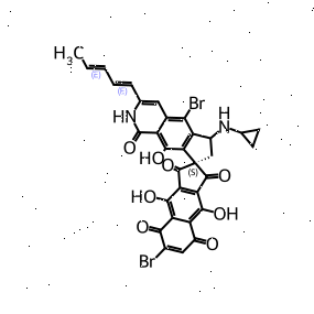 C/C=C/C=C/c1cc2c(Br)c3c(c(O)c2c(=O)[nH]1)[C@@]1(CC3NC2CC2)C(=O)c2c(O)c3c(c(O)c2C1=O)C(=O)C(Br)=CC3=O